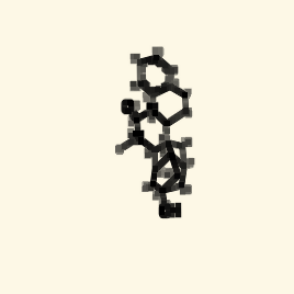 CN(C(=O)N1CCCc2ccccc21)C1C2CC3CC1CC(O)(C3)C2